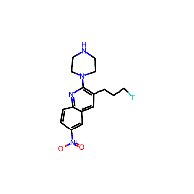 O=[N+]([O-])c1ccc2nc(N3CCNCC3)c(CCCF)cc2c1